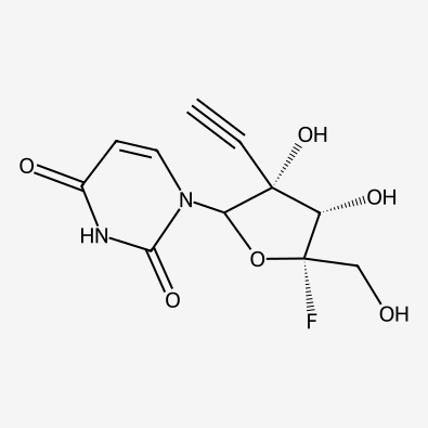 C#C[C@]1(O)C(n2ccc(=O)[nH]c2=O)O[C@](F)(CO)[C@H]1O